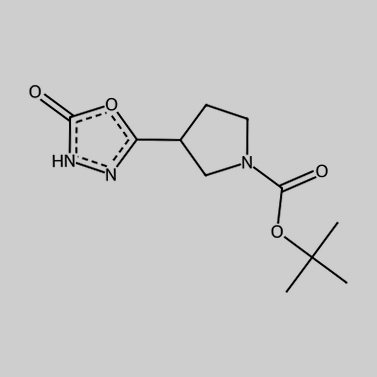 CC(C)(C)OC(=O)N1CCC(c2n[nH]c(=O)o2)C1